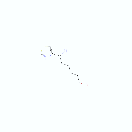 NC(CCCCCO)c1cscn1